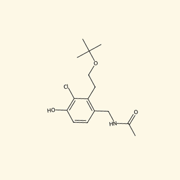 CC(=O)NCc1ccc(O)c(Cl)c1CCOC(C)(C)C